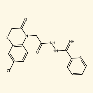 N=C(NNC(=O)CN1C(=O)CSc2cc(Cl)ccc21)c1ccccn1